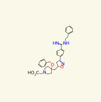 N=C(NCCc1ccccc1)c1ccc(C2=NOC(CC3(OCc4ccccc4)CCN(CC(=O)O)CC3)C2)cc1